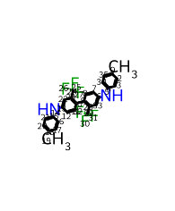 Cc1ccc(Nc2ccc(-c3ccc(Nc4ccc(C)cc4)cc3C(F)(F)F)c(C(F)(F)F)c2)cc1